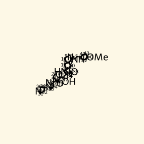 COc1ccc(CNc2nccc3cc4[nH]c([C@H](O)C5OCCN(c6ccn(-c7ccncc7)n6)C5=O)nc(=O)c4cc23)cc1